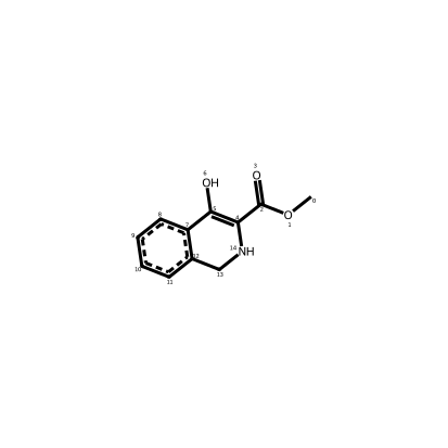 COC(=O)C1=C(O)c2ccccc2CN1